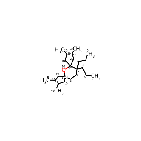 CCCC1(CCC)CC[Si](CCC)(CCC)OC1(CCC)CCC